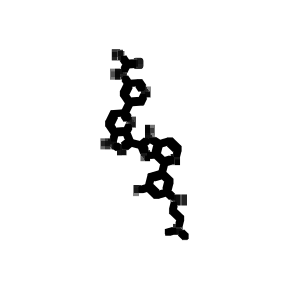 CCC(=O)Nc1cncc(-c2ccc3[nH]nc(-c4nc5c(-c6cc(F)cc(NCCN(C)C)c6)nccc5[nH]4)c3n2)c1